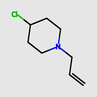 C=CCN1CCC(Cl)CC1